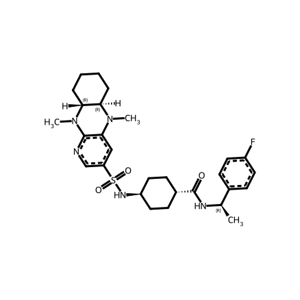 C[C@@H](NC(=O)[C@H]1CC[C@H](NS(=O)(=O)c2cnc3c(c2)N(C)[C@@H]2CCCC[C@H]2N3C)CC1)c1ccc(F)cc1